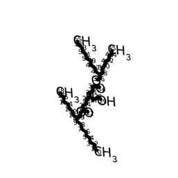 CCCCCCCCCCC(CCCCCCCC)COC(=O)CCCN(CCO)CCCC(=O)OCC(CCCCCCCC)CCCCCCCCCC